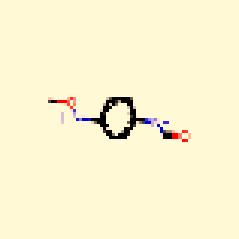 CONc1ccc(NC=O)cc1